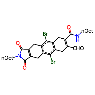 CCCCCCCCNC(=O)C1=C(C=O)Cc2c(Br)c3c(c(Br)c2C1)CC1=C(C3)C(=O)N(CCCCCCCC)C1=O